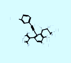 Cc1cccc(C#Cc2c(-c3c(C)noc3C)cc(C)c3c2[C@@H](C)[C@H](O)C(C)(C)N3)c1